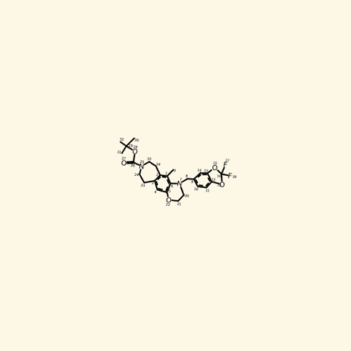 Cc1c2c(cc3c1N(Cc1ccc4c(c1)OC(F)(F)O4)CCO3)CCN(C(=O)OC(C)(C)C)CC2